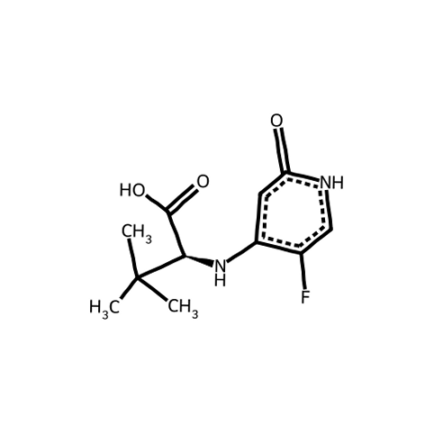 CC(C)(C)[C@H](Nc1cc(=O)[nH]cc1F)C(=O)O